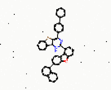 c1ccc(-c2ccc(C3=C4Sc5ccccc5C4NC(c4cccc5oc6cc(-c7cccc8ccccc78)ccc6c45)=N3)cc2)cc1